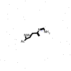 C=C(CCC(NC)C(C)=O)/N=C\N